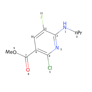 CCCNc1nc(Cl)c(C(=O)OC)cc1F